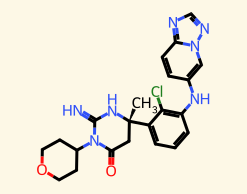 C[C@@]1(c2cccc(Nc3ccc4ncnn4c3)c2Cl)CC(=O)N(C2CCOCC2)C(=N)N1